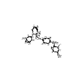 Cc1cc(Br)cnc1Nc1ccc(Oc2ncccc2-c2ccncc2)cc1